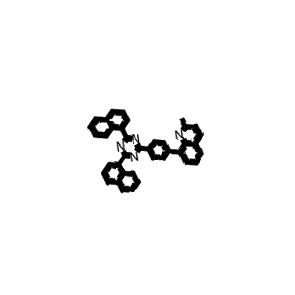 Cc1ccc2cccc(-c3ccc(-c4nc(-c5cccc6ccccc56)nc(-c5cccc6ccccc56)n4)cc3)c2n1